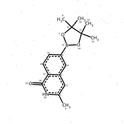 Cc1cc2cc(B3OC(C)(C)C(C)(C)O3)ccc2c(=O)[nH]1